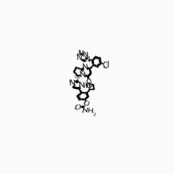 NC(=O)Oc1ccc(-c2cnc([C@@H]3CCc4nc(-c5cc(Cl)ccc5-n5cnnn5)cc(=O)n43)[nH]2)c(C2CCO2)c1